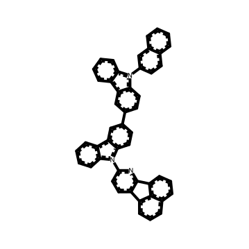 c1ccc2cc(-n3c4ccccc4c4cc(-c5ccc6c(c5)c5ccccc5n6-c5ccc6c(n5)-c5cccc7cccc-6c57)ccc43)ccc2c1